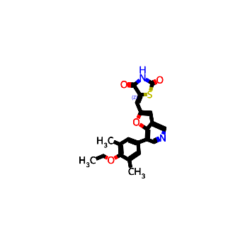 CCOc1c(C)cc(-c2cncc3cc(/C=C4\SC(=O)NC4=O)oc23)cc1C